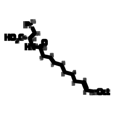 CCCCCCCC/C=C/CCCCCCCC(=O)N[C@@H](CC(C)C)C(=O)O